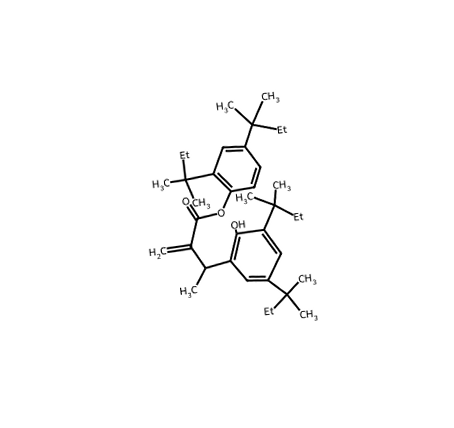 C=C(C(=O)Oc1ccc(C(C)(C)CC)cc1C(C)(C)CC)C(C)c1cc(C(C)(C)CC)cc(C(C)(C)CC)c1O